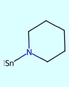 [Sn][N]1CCCCC1